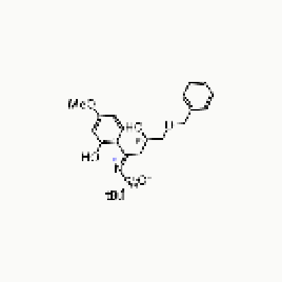 COc1ccc(/C(C[C@@H](O)COCc2ccccc2)=N/[S@@+]([O-])C(C)(C)C)c(O)c1